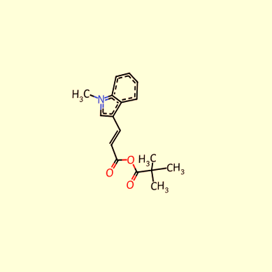 Cn1cc(/C=C/C(=O)OC(=O)C(C)(C)C)c2ccccc21